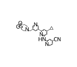 N#Cc1ccnc(Nc2cc(C3CC3)cc(-c3cncc(CN4CCS(=O)(=O)CC4)c3)n2)c1